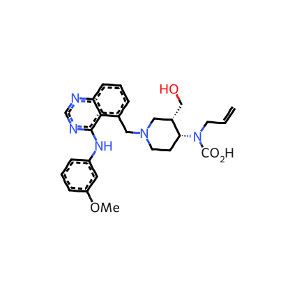 C=CCN(C(=O)O)[C@@H]1CCN(Cc2cccc3ncnc(Nc4cccc(OC)c4)c23)C[C@@H]1CO